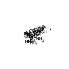 C[C@@H](O)[C@H](NC(=O)[C@H](CCC(=O)O)NC(=O)[C@H](CCCNC(=N)N)NC(=O)[C@H](CCCCN)NC(=O)[C@H](CS)NC(=O)[C@H](CS)NC(=O)[C@H](CS)NC(=O)[C@H](CS)NC(=O)[C@@H](N)CC(N)=O)C(=O)O